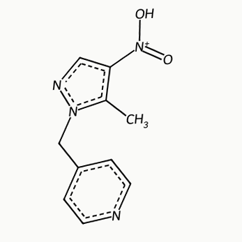 Cc1c([N+](=O)O)cnn1Cc1ccncc1